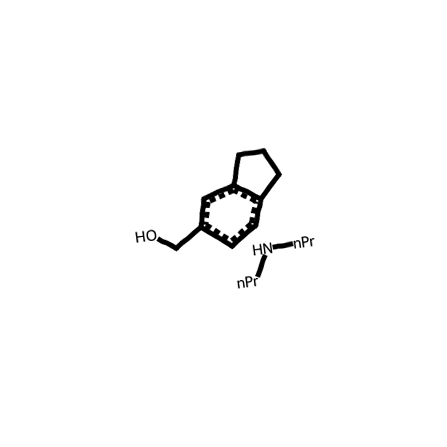 CCCNCCC.OCc1ccc2c(c1)CCC2